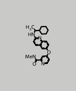 CNC(=O)c1cc(Oc2ccc3nc(NC(C)C4CCCCC4)ccc3c2)ccn1